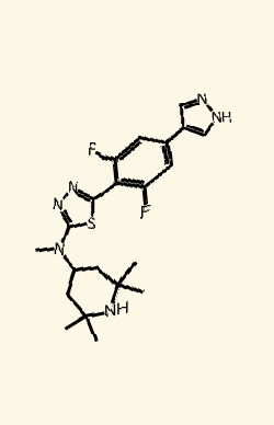 CN(c1nnc(-c2c(F)cc(-c3cn[nH]c3)cc2F)s1)C1CC(C)(C)NC(C)(C)C1